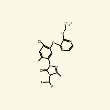 Cc1nn(-c2cc(Oc3cccnc3OCC(=O)O)c(Cl)cc2F)c(=O)n1C(F)F